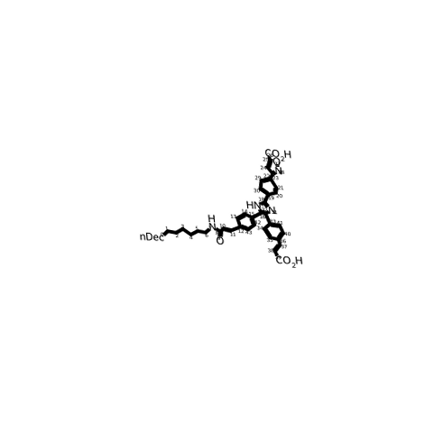 CCCCCCCCCCCCCCCCNC(=O)C=Cc1ccc(-c2[nH]c(-c3ccc(-c4cc(C(=O)O)on4)cc3)nc2-c2ccc(C=CC(=O)O)cc2)cc1